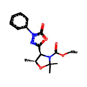 CC(C)[C@H]1OC(C)(C)N(C(=O)OC(C)(C)C)[C@@H]1c1nn(-c2ccccc2)c(=O)o1